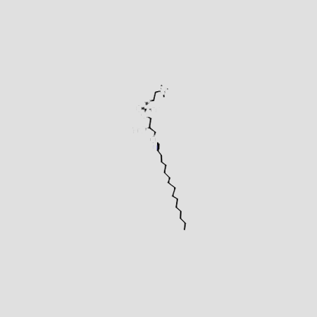 CCCCCCCCCCCCCC/C=C/OC[C@@H](O)COP(=O)([O-])OCC[N+](C)(C)C